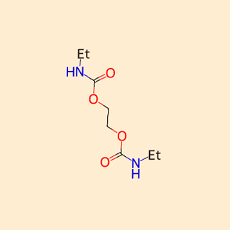 CCNC(=O)OCCOC(=O)NCC